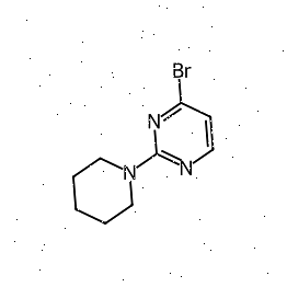 Brc1ccnc(N2CCCCC2)n1